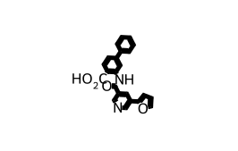 O=C(Nc1cc(-c2ccccc2)ccc1C(=O)O)c1cncc(-c2ccco2)c1